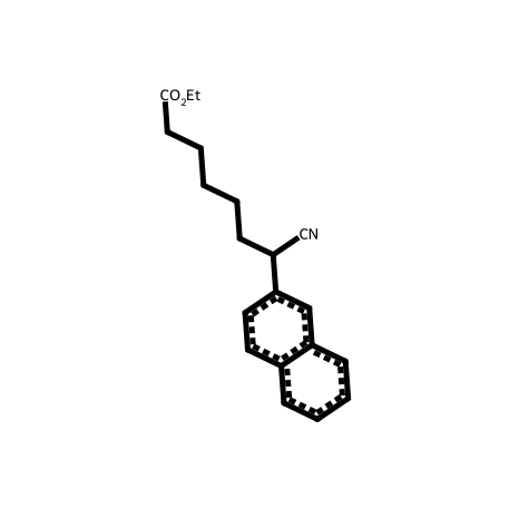 CCOC(=O)CCCCCC(C#N)c1ccc2ccccc2c1